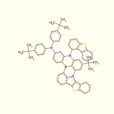 CC(C)(C)c1ccc(N(c2ccc(C(C)(C)C)cc2)c2ccc3c(c2)N(c2cccc4sc5ccccc5c24)c2cc(C(C)(C)C)cc4c2B3c2cccc3c5sc6ccccc6c5n-4c23)cc1